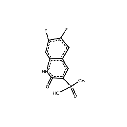 O=c1[nH]c2cc(F)c(F)cc2cc1P(=O)(O)O